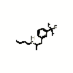 CCCCNC(C)Cc1cccc(C(F)(F)F)c1